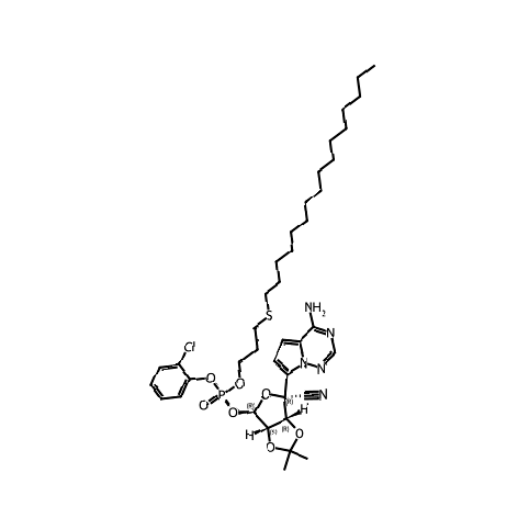 CCCCCCCCCCCCCCCCSCCCOP(=O)(Oc1ccccc1Cl)O[C@H]1O[C@@](C#N)(c2ccc3c(N)ncnn23)[C@@H]2OC(C)(C)O[C@H]12